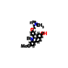 CCCN(C)CCOc1ccc(CN(CC)c2cc(OC)ccc2C2CCc3cc(O)ccc3C2)cc1